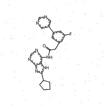 O=C(Cc1cc(F)cc(-c2cncnc2)c1)Nc1ncnc2nc(C3CCCC3)[nH]c12